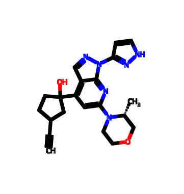 C#CC1CCC(O)(c2cc(N3CCOC[C@H]3C)nc3c2cnn3-c2cc[nH]n2)C1